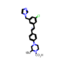 CC(C)(C)C1CN(c2ccc(/C=C/c3cc(Cl)cc(Cn4ccnc4)c3)cc2)CCN1C(=O)O